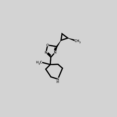 C[C@@H]1C[C@@H]1c1nc(C2(C)CCNCC2)no1